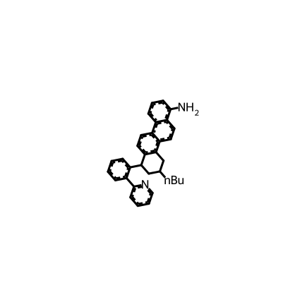 CCCCC1Cc2c(ccc3c2ccc2c(N)cccc23)C(c2ccccc2-c2ccccn2)C1